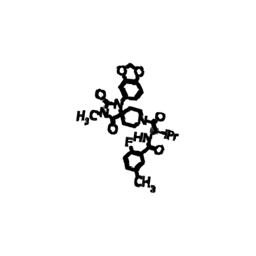 Cc1ccc(F)c(C(=O)N[C@@H](C(=O)N2CCC3(CC2)C(=O)N(C)C(=O)N3c2ccc3c(c2)OCO3)C(C)C)c1